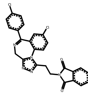 O=C1c2ccccc2C(=O)N1CCc1nnc2n1-c1ccc(Cl)cc1C(c1ccc(Cl)cc1)=NC2